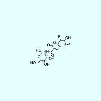 O=C(N[C@@H]1C(O)OC(CO)[C@H](O)C1O)c1cc2cc(F)c(O)c(F)c2oc1=O